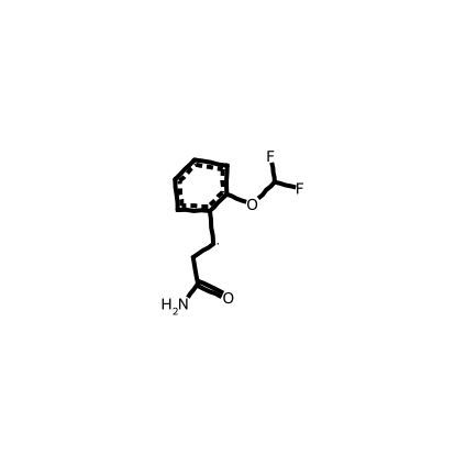 NC(=O)C[CH]c1ccccc1OC(F)F